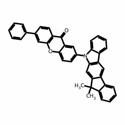 CC1(C)c2ccccc2-c2cc3c4ccccc4n(-c4ccc5oc6cc(-c7ccccc7)ccc6c(=O)c5c4)c3cc21